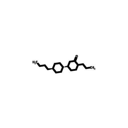 CCCC[C@H]1CC[C@H](C2CCC(CCC)C(=O)C2)CC1